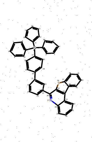 c1ccc([Si](c2ccccc2)(c2ccccc2)c2ccc(-c3cccc(-c4nc5ccccc5c5c4sc4ccccc45)c3)cc2)cc1